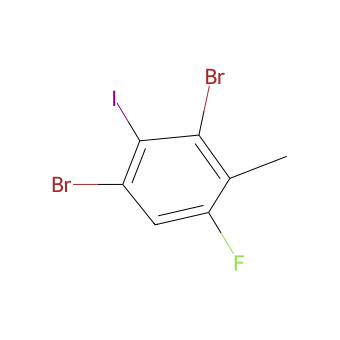 Cc1c(F)cc(Br)c(I)c1Br